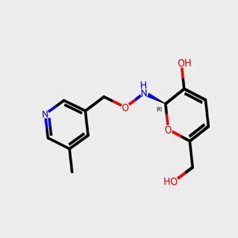 Cc1cncc(CON[C@@H]2OC(CO)=CC=C2O)c1